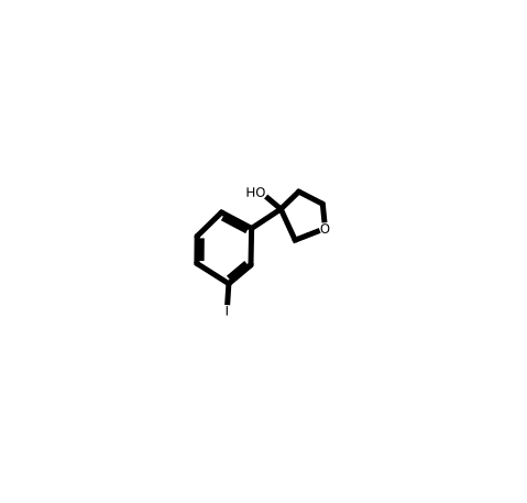 OC1(c2cccc(I)c2)CCOC1